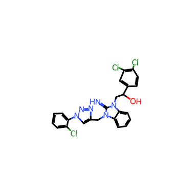 N=c1n(Cc2cn(-c3ccccc3Cl)nn2)c2ccccc2n1CC(O)c1ccc(Cl)c(Cl)c1